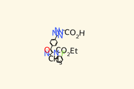 CCOC(=O)N(c1ccccc1F)c1c(C)noc1-c1ccc(-c2nnn(CC(=O)O)n2)cc1